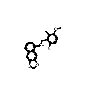 COc1ccc(Br)c(CNc2cccc3cc4c(cc23)OCO4)c1C